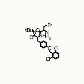 CC(C)CC(N)C(=O)NC(Cc1ccc(OCc2c(Cl)cccc2Cl)cc1)C(=O)NC(C)(C)C